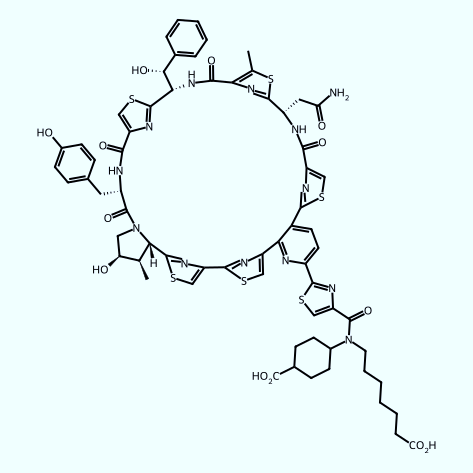 Cc1sc2nc1C(=O)N[C@@H]([C@H](O)c1ccccc1)c1nc(cs1)C(=O)N[C@@H](Cc1ccc(O)cc1)C(=O)N1C[C@H](O)[C@H](C)[C@H]1c1nc(cs1)-c1nc(cs1)-c1nc(-c3nc(C(=O)N(CCCCCCC(=O)O)C4CCC(C(=O)O)CC4)cs3)ccc1-c1nc(cs1)C(=O)N[C@H]2CC(N)=O